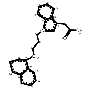 O=C(O)Cc1cn(CCCOc2cccc3ccccc23)c2ccccc12